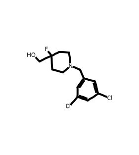 OCC1(F)CCN(Cc2cc(Cl)cc(Cl)c2)CC1